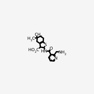 CC1(C)CCC2=C(C1)C(C(=O)O)C(NC(=O)c1cccnc1CN)S2